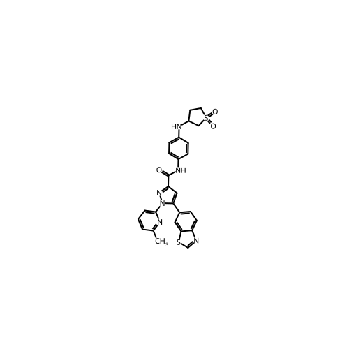 Cc1cccc(-n2nc(C(=O)Nc3ccc(NC4CCS(=O)(=O)C4)cc3)cc2-c2ccc3ncsc3c2)n1